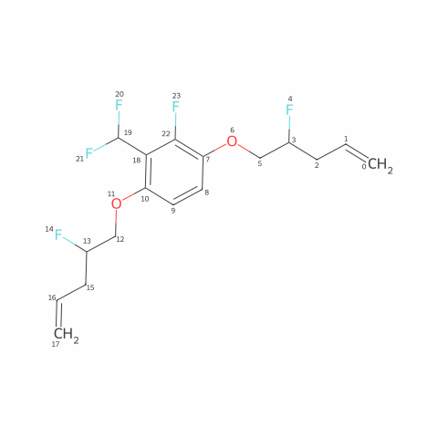 C=CCC(F)COc1ccc(OCC(F)CC=C)c(C(F)F)c1F